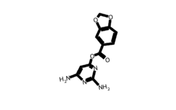 Nc1cc(OC(=O)c2ccc3c(c2)OCO3)nc(N)n1